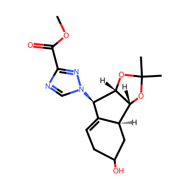 COC(=O)c1ncn([C@@H]2C3=CCC(O)C[C@@H]3[C@H]3OC(C)(C)O[C@H]32)n1